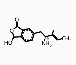 CC=C(I)[C@@H](N)Cc1ccc2c(c1)C(=O)OC2O